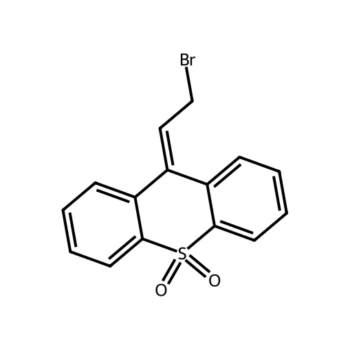 O=S1(=O)c2ccccc2C(=CCBr)c2ccccc21